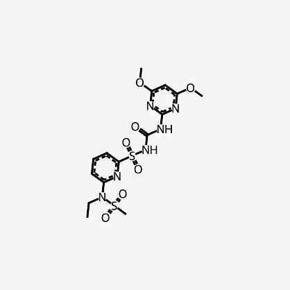 CCN(c1cccc(S(=O)(=O)NC(=O)Nc2nc(OC)cc(OC)n2)n1)S(C)(=O)=O